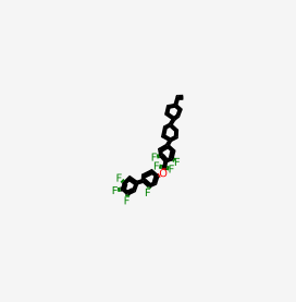 C=CC1CCC(C2CCC(c3cc(F)c(C(F)(F)Oc4ccc(-c5cc(F)c(F)c(F)c5)c(F)c4)c(F)c3)CC2)CC1